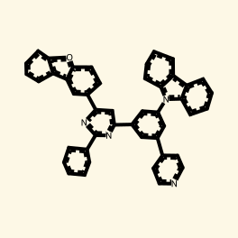 c1ccc(-c2nc(-c3cc(-c4ccncc4)cc(-n4c5ccccc5c5ccccc54)c3)cc(-c3ccc4oc5ccccc5c4c3)n2)cc1